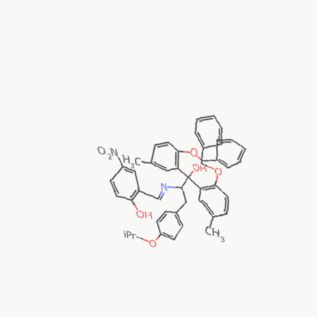 Cc1ccc(OCc2ccccc2)c(C(O)(c2cc(C)ccc2OCc2ccccc2)C(Cc2ccc(OC(C)C)cc2)N=Cc2cc([N+](=O)[O-])ccc2O)c1